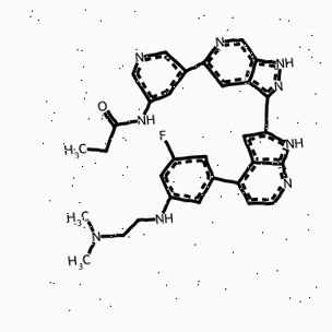 CCC(=O)Nc1cncc(-c2cc3c(-c4cc5c(-c6cc(F)cc(NCCN(C)C)c6)ccnc5[nH]4)n[nH]c3cn2)c1